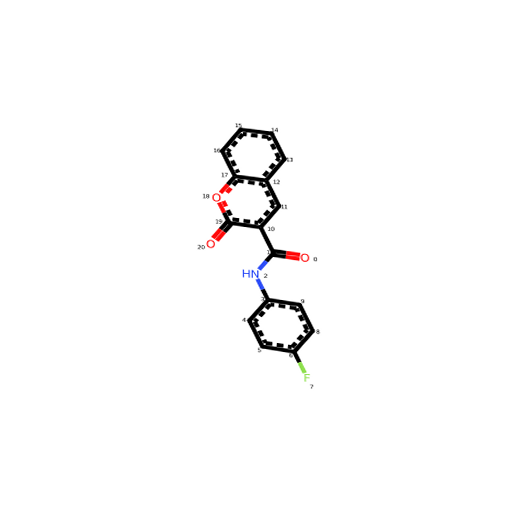 O=C(Nc1ccc(F)cc1)c1cc2ccccc2oc1=O